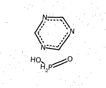 O=[PH2]O.c1ncncn1